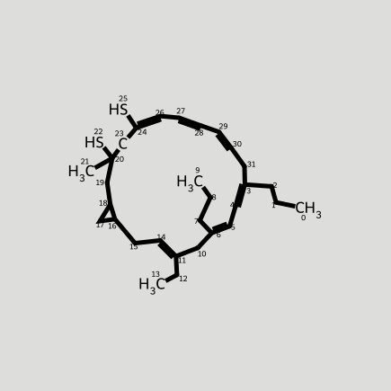 CCC/C1=C\C=C(/CCC)C/C(CC)=C/CC2CC2CC(C)(S)C\C(S)=C/C=C/C=C/C1